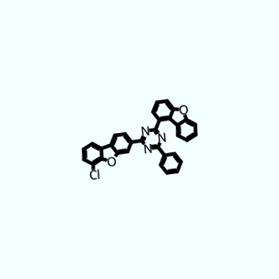 Clc1cccc2c1oc1cc(-c3nc(-c4ccccc4)nc(-c4cccc5oc6ccccc6c45)n3)ccc12